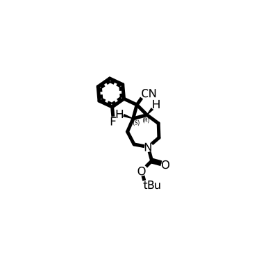 CC(C)(C)OC(=O)N1CC[C@@H]2[C@H](CC1)C2(C#N)c1ccccc1F